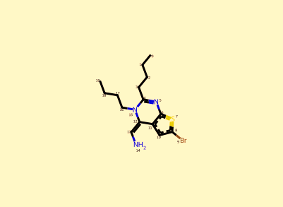 CCCCC1=Nc2sc(Br)cc2/C(=C\N)N1CCCC